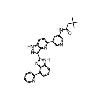 CC(C)(C)CC(=O)Nc1cncc(-c2ccc3[nH]nc(-c4nc5c(-c6ccccn6)cccc5[nH]4)c3n2)c1